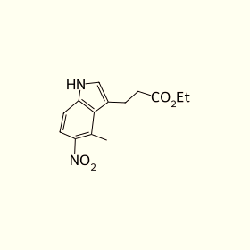 CCOC(=O)CCc1c[nH]c2ccc([N+](=O)[O-])c(C)c12